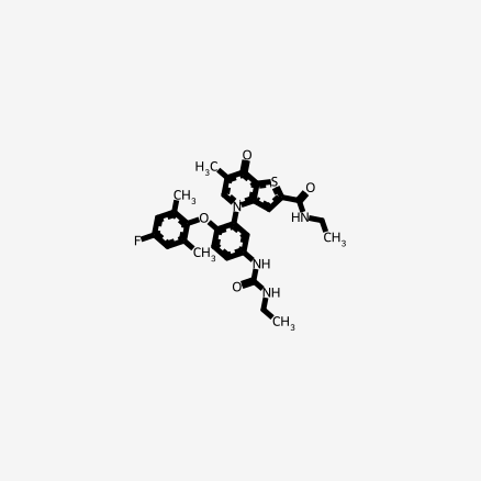 CCNC(=O)Nc1ccc(Oc2c(C)cc(F)cc2C)c(-n2cc(C)c(=O)c3sc(C(=O)NCC)cc32)c1